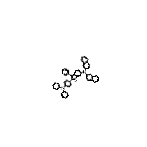 c1ccc(-c2c(-c3ccc(N(c4ccccc4)c4ccccc4)cc3)sc3cc(N(c4ccc5ccccc5c4)c4ccc5ccccc5c4)ccc23)cc1